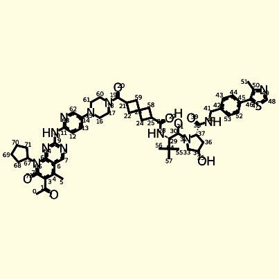 CC(=O)c1c(C)c2cnc(Nc3ccc(N4CCN(C(=O)C5CC6(CC(C(=O)N[C@H](C(O)N7C[C@H](O)C[C@H]7C(=O)NCc7ccc(-c8scnc8C)cc7)C(C)(C)C)C6)C5)CC4)cn3)nc2n(C2CCCC2)c1=O